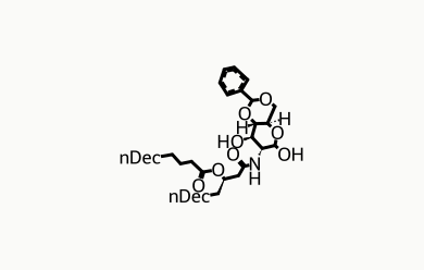 CCCCCCCCCCCCCC(=O)O[C@H](CCCCCCCCCCC)CC(=O)N[C@H]1C(O)O[C@@H]2COC(c3ccccc3)O[C@H]2[C@@H]1O